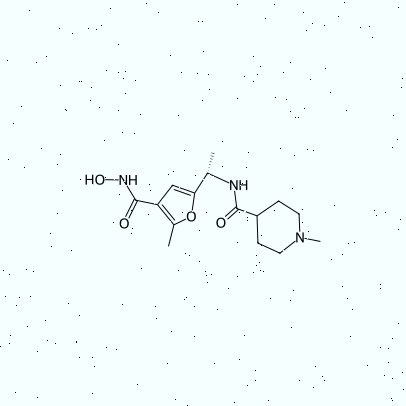 Cc1oc([C@H](C)NC(=O)C2CCN(C)CC2)cc1C(=O)NO